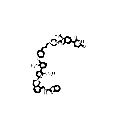 Cc1c(OC2CCC(CCCN3CCN(c4nc5cc(C6CCC(=O)NC6=O)ccc5n4C)CC3)CC2)cccc1-c1ccc(N2CCc3cccc(C(=O)Nc4nc5ccccc5s4)c3C2)nc1C(=O)O